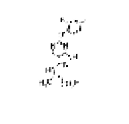 CC(CC(=O)O)Nc1n[nH]c2nc(Oc3ccc(F)cc3F)ncc12